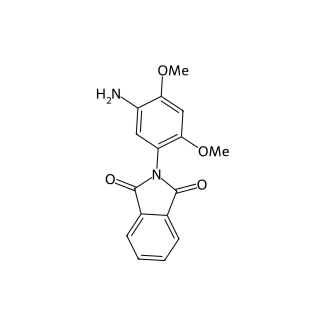 COc1cc(OC)c(N2C(=O)c3ccccc3C2=O)cc1N